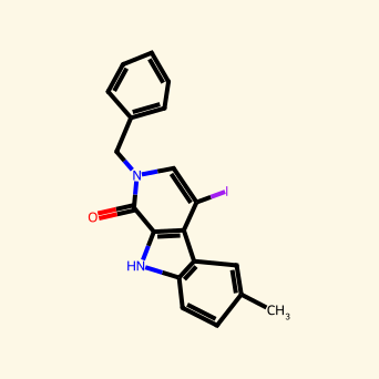 Cc1ccc2[nH]c3c(=O)n(Cc4ccccc4)cc(I)c3c2c1